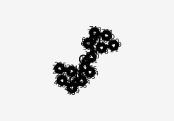 c1ccc(-c2ccc(N(c3ccc4c(c3)oc3cc(N(c5ccc(-c6ccccc6)cc5)c5cccc6c5oc5c(-c7ccccc7)cccc56)c5ccccc5c34)c3cccc4c3oc3c(-c5ccccc5)cccc34)cc2)cc1